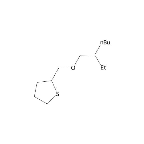 CCCCC(CC)COCC1CCCS1